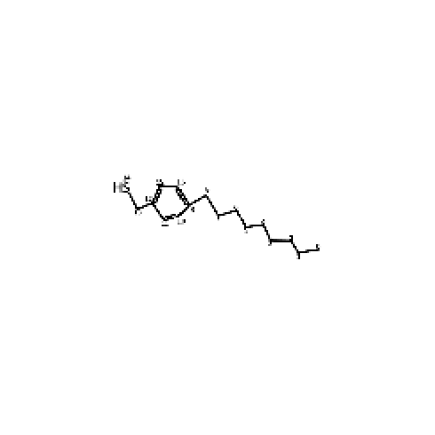 CCCCCCCCCc1ccc(CS)cc1